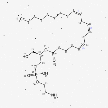 CCCCCCCC/C=C\C/C=C\C/C=C\CCCC(=O)O[C@H](CO)COP(=O)(O)OCCN